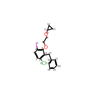 Clc1ccc(I)c(OCCOC2CC2)c1Cc1ccccc1